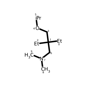 CCC(CC)(COC(C)C)CN(C)C